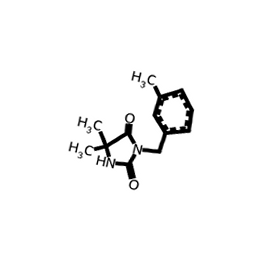 Cc1cccc(CN2C(=O)NC(C)(C)C2=O)c1